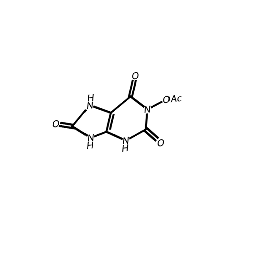 CC(=O)On1c(=O)[nH]c2[nH]c(=O)[nH]c2c1=O